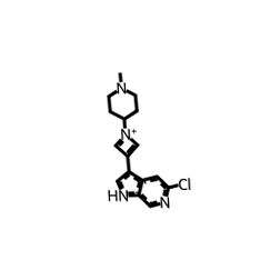 CN1CCC([N+]2=CC(c3c[nH]c4cnc(Cl)cc34)=C2)CC1